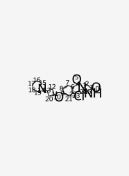 O=C1CN(C(=O)c2ccc(O[C@H]3C[C@H](N4CCCCC4)C3)cc2Cl)CN1